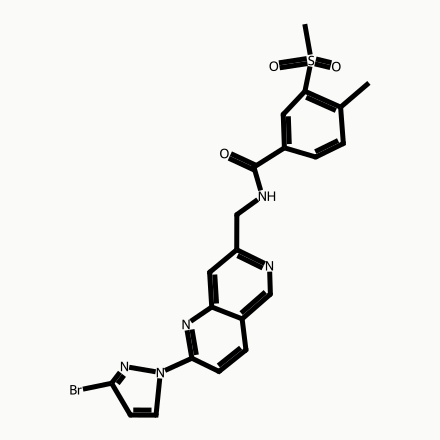 Cc1ccc(C(=O)NCc2cc3nc(-n4ccc(Br)n4)ccc3cn2)cc1S(C)(=O)=O